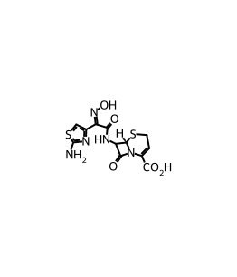 Nc1nc(/C(=N/O)C(=O)NC2C(=O)N3C(C(=O)O)=CCS[C@@H]23)cs1